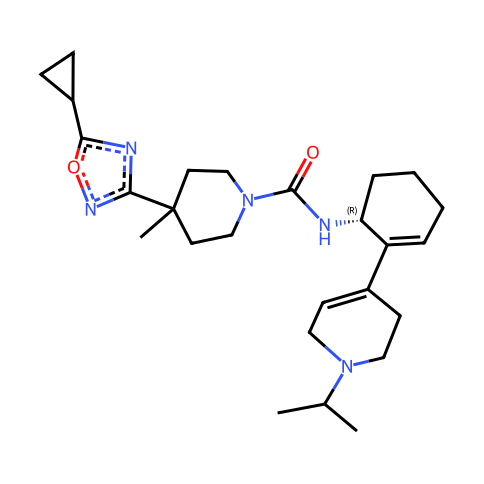 CC(C)N1CC=C(C2=CCCC[C@H]2NC(=O)N2CCC(C)(c3noc(C4CC4)n3)CC2)CC1